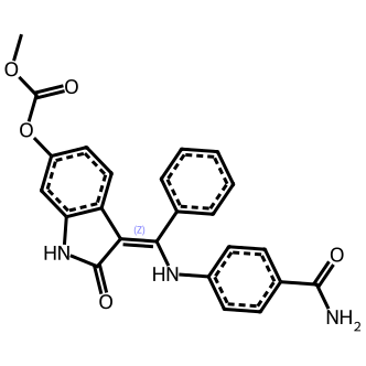 COC(=O)Oc1ccc2c(c1)NC(=O)/C2=C(\Nc1ccc(C(N)=O)cc1)c1ccccc1